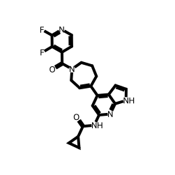 O=C(Nc1cc(C2=CCN(C(=O)c3ccnc(F)c3F)CCC2)c2cc[nH]c2n1)C1CC1